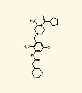 Cc1c(CN2CCN(C(=O)C3CCCC3)C(C)C2)cc(Cl)cc1NC(=O)CC1CCCOC1